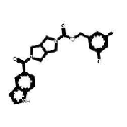 O=C(OCc1cc(Cl)cc(Cl)c1)N1CC2CN(C(=O)c3ccc4[nH]ccc4c3)CC2C1